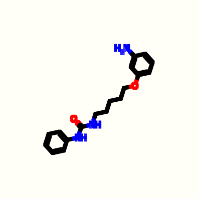 Nc1cccc(OCCCCCNC(=O)Nc2ccccc2)c1